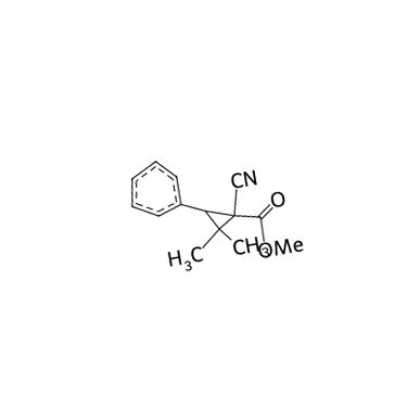 COC(=O)C1(C#N)C(c2ccccc2)C1(C)C